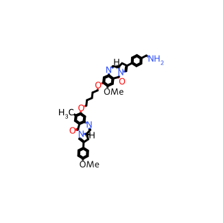 COc1ccc(C2=CN3C(=O)c4cc(C)c(OCCCCCOc5cc6c(cc5OC)C(=O)N5C=C(c7ccc(CN)cc7)C[C@H]5C=N6)cc4N=C[C@@H]3C2)cc1